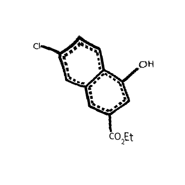 CCOC(=O)c1cc(O)c2ccc(Cl)cc2c1